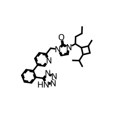 CCCC(C1C(C)CC1C(C)C)n1ccn(Cc2ccc(-c3ccccc3-c3nnn[nH]3)cn2)c1=O